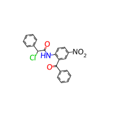 O=C(c1ccccc1)c1cc([N+](=O)[O-])ccc1NC(=O)C(Cl)c1ccccc1